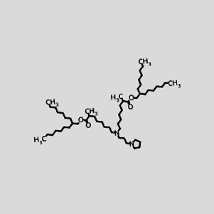 CCCCCCCC(CCCCCCC)COC(=O)C(C)CCCCCCN(CCCCCCC(C)C(=O)OCC(CCCCCCC)CCCCCCC)CCCN1CCCC1